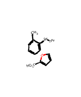 CC[CH2][Sn][c]1ccccc1C.O=C(O)c1ccco1